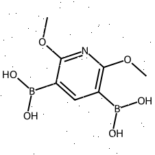 COc1nc(OC)c(B(O)O)cc1B(O)O